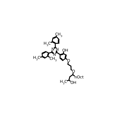 CCCCCCCCC(CC(C)O)OCCCOc1ccc(-c2nc(-c3ccc(C)cc3C)nc(-c3ccc(C)cc3C)n2)c(O)c1